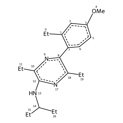 CCc1cc(OC)ccc1-c1nc(CC)c(NC(CC)CC)nc1CC